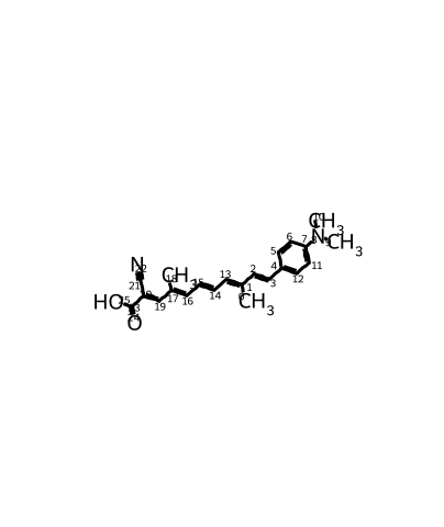 CC(/C=C/c1ccc(N(C)C)cc1)=C\C=C\C=C(C)\C=C(/C#N)C(=O)O